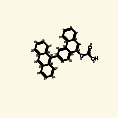 O=C(O)Oc1cc2ccccc2c2cc(-c3c4ccccc4cc4ccccc34)ccc12